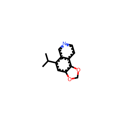 CC(C)c1cc2c(c3ccncc13)OCO2